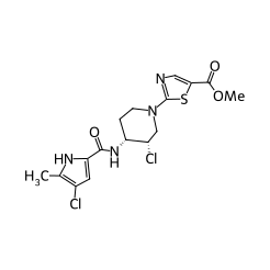 COC(=O)c1cnc(N2CC[C@@H](NC(=O)c3cc(Cl)c(C)[nH]3)[C@@H](Cl)C2)s1